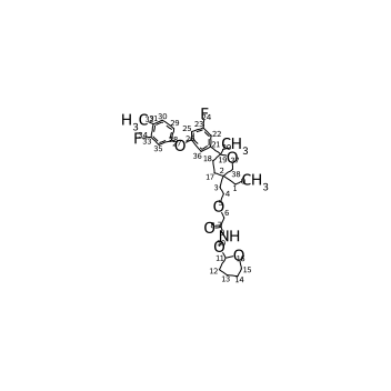 CCC1(CCOCC(=O)NOC2CCCCO2)CCC(C)(c2cc(F)cc(Oc3ccc(C)c(F)c3)c2)OC1